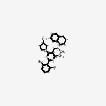 CCc1cccc(CC)c1-c1nc(C)c(CN(C)[C@H]2CCCc3ccccc32)c(N2CCC(O)C2)n1